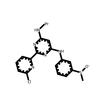 CC(C)Nc1cc(Nc2cccc([S+](C)[O-])c2)nc(-c2cccc(Cl)n2)n1